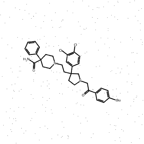 CC(C)(C)c1ccc(C(=O)CN2CCC(CCN3CCC(C(N)=O)(c4ccccc4)CC3)(c3ccc(Cl)c(Cl)c3)C2)cc1